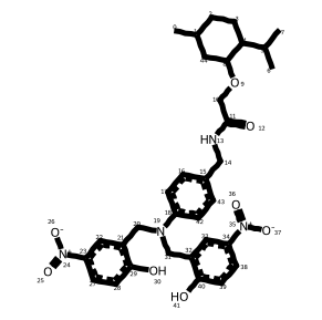 CC1CCC(C(C)C)C(OCC(=O)NCc2ccc(N(Cc3cc([N+](=O)[O-])ccc3O)Cc3cc([N+](=O)[O-])ccc3O)cc2)C1